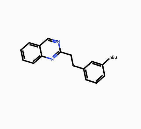 CCCCc1cccc(CCc2ncc3ccccc3n2)c1